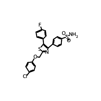 NS(=O)(=O)c1ccc(-c2nc(COc3ccc(Cl)cc3)sc2-c2ccc(F)cc2)cc1